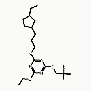 CCOc1nc(OCCCC2CCC(CC)C2)nc(OCC(F)(F)F)n1